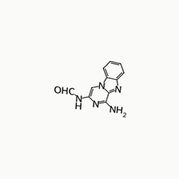 Nc1nc(NC=O)cn2c1nc1ccccc12